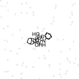 CN(C1CC2CCC(C1)N2C(=O)O)C(Nc1ccccc1)S(=O)(=O)O